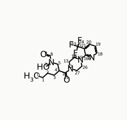 CCCCC(CN(O)C=O)C(=O)N1CCN(c2ncccc2C(F)(F)F)CC1